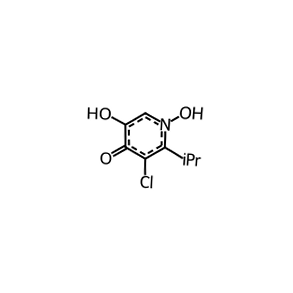 CC(C)c1c(Cl)c(=O)c(O)cn1O